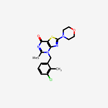 CSc1nc(=O)c2sc(N3CCOCC3)nc2n1Cc1cccc(Cl)c1C